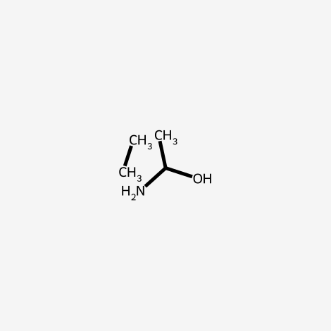 CC.CC(N)O